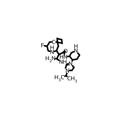 CC(C)N1CCN(C2CCNCC2NC(=O)C(C(N)N)C2CC3(CCC3)CCC(F)CN2)CC1